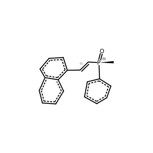 C[P@](=O)(/C=C/c1cccc2ccccc12)c1ccccc1